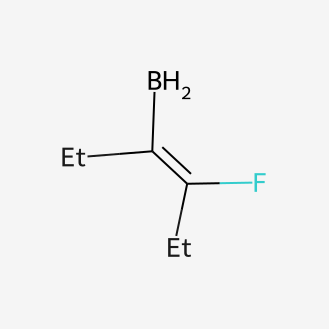 B/C(CC)=C(\F)CC